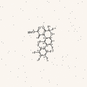 C=C(C(=O)OC)N1C(=O)C(F)(F)Oc2cc(F)c(-c3c(F)c(F)c(F)c(F)c3F)c(F)c21